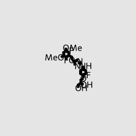 COc1cc(OC)c(F)c(COc2cnc(Nc3ccc(OCC(O)CO)c(F)c3)nc2)c1F